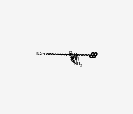 CCCCCCCCCCCCCCCCCCCCCCCCCCCCCC(=O)OC[C@H](COP(=O)(O)OCCN)OC(=O)CCCCCCCCCc1ccc2ccc3cccc4ccc1c2c34